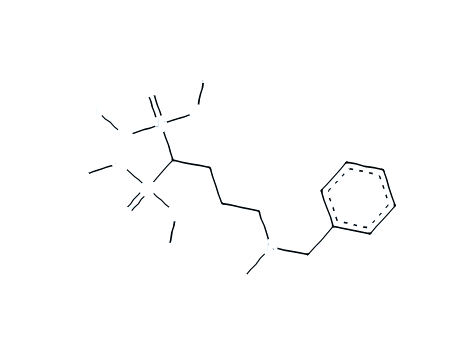 CCOP(=O)(OCC)C(CCCN(C)Cc1ccccc1)P(=O)(OCC)OCC